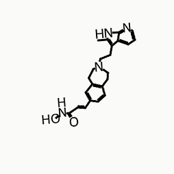 Cc1[nH]c2ncccc2c1CCN1CCc2ccc(C=CC(=O)NO)cc2CC1